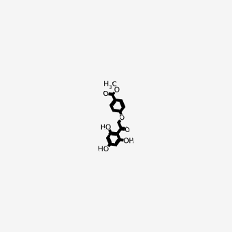 COC(=O)c1ccc(OCC(=O)c2c(O)cc(O)cc2O)cc1